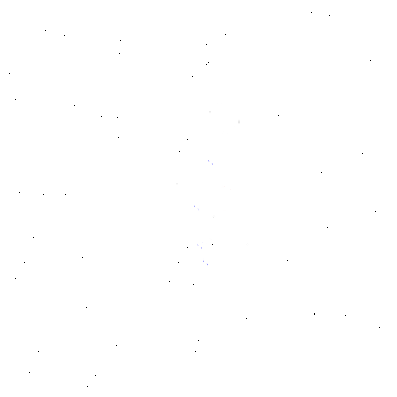 CC(C)(C)C(NC(=O)c1nn(CC2CCOCC2)c2c(F)cccc12)C(=O)NCc1ccccc1